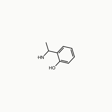 CC([NH])c1ccccc1O